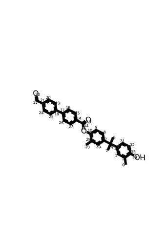 Cc1cc(C(C)(C)c2ccc(OC(=O)c3ccc(-c4ccc(C=O)cc4)cc3)c(C)c2)ccc1O